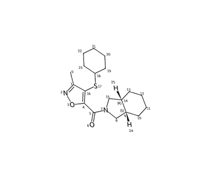 Cc1noc(C(=O)N2C[C@H]3CCCC[C@H]3C2)c1SC1CCCCC1